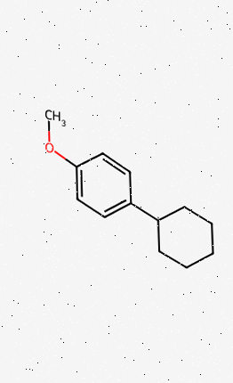 COc1ccc([C]2CCCCC2)cc1